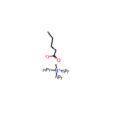 CCCCC(=O)[O-].CCC[N+](C)(CCC)CCC